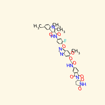 CCc1ccc2c(c1)c(=O)c(C(=O)Nc1ccc(Oc3ncnc4cc(OCC(=O)Nc5ccc6c(c5)C(=O)N(C5CCC(=O)NC5=O)C6=O)c(OC)cc34)c(F)c1)c(C)n2C